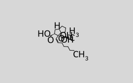 C/C=C/O[C@@]1(/C=C\[C@H](O)CCCCC)[C@@H](C(=O)O)C[C@@H]2CCC[C@]21O